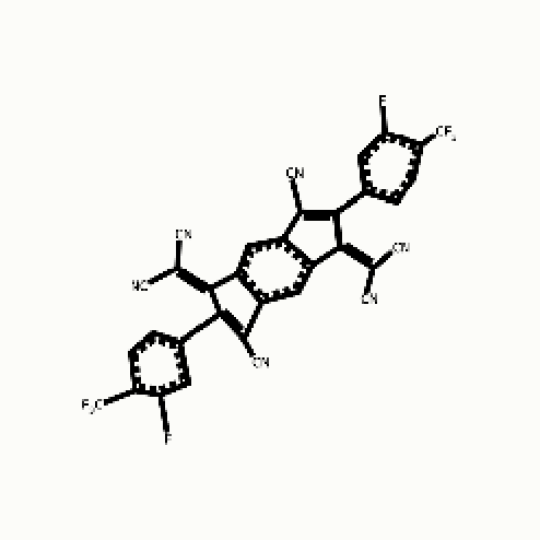 N#CC(C#N)=C1C(c2ccc(C(F)(F)F)c(F)c2)=C(C#N)c2cc3c(cc21)C(C#N)=C(c1ccc(C(F)(F)F)c(F)c1)C3=C(C#N)C#N